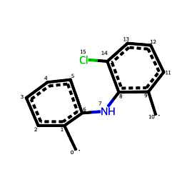 [CH2]c1ccccc1Nc1c([CH2])cccc1Cl